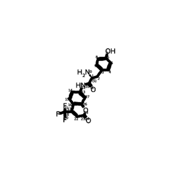 N[C@@H](Cc1ccc(O)cc1)C(=O)Nc1ccc2c(C(F)(F)F)cc(=O)oc2c1